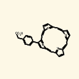 O=C(O)Cc1ccc(C2=CC3=CC4=NC(=CC5=NC(=CC6=NC(=CC2=N3)C=C6)C=C5)C=C4)cc1